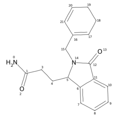 NC(=O)CCC1c2ccccc2C(=O)N1CC1=CCCC=C1